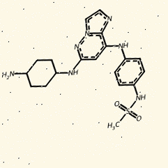 CS(=O)(=O)Nc1ccc(Nc2cc(NC3CCC(N)CC3)nn3ccnc23)cc1